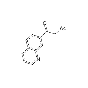 CC(=O)CC(=O)c1ccc2cccnc2c1